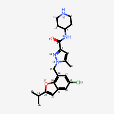 Cc1cc(C(=O)NC2CCNCC2)nn1Cc1cc(Cl)cc2cc(C(C)C)oc12